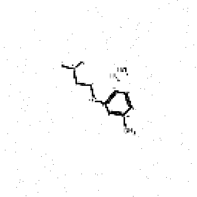 CN(C)CCOc1cccc(N)c1.Cl.Cl